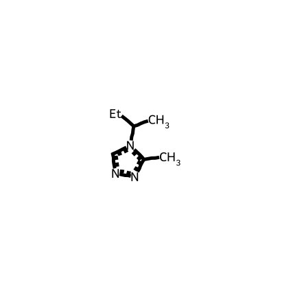 CCC(C)n1cnnc1C